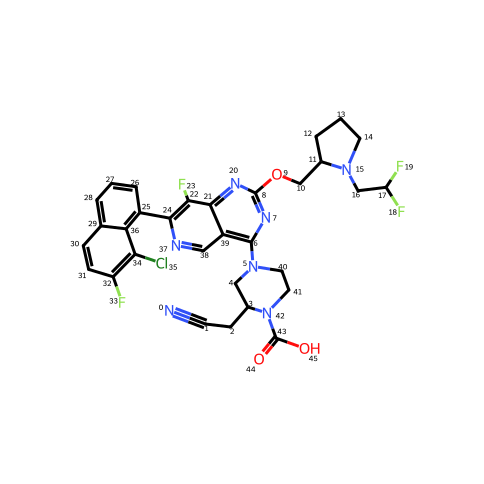 N#CCC1CN(c2nc(OCC3CCCN3CC(F)F)nc3c(F)c(-c4cccc5ccc(F)c(Cl)c45)ncc23)CCN1C(=O)O